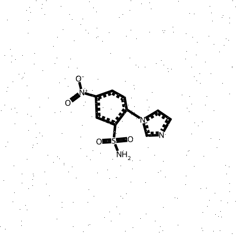 NS(=O)(=O)c1cc([N+](=O)[O-])ccc1-n1ccnc1